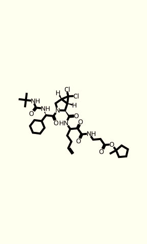 C=CCCC(NC(=O)[C@@H]1[C@@H]2[C@H](CN1C(=O)[C@@H](NC(=O)NC(C)(C)C)C1CCCCC1)C2(Cl)Cl)C(=O)C(=O)NCCC(=O)OC1(C)CCCC1